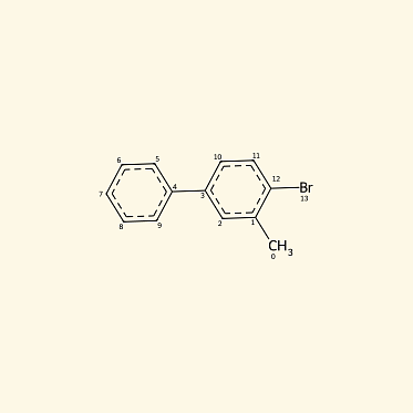 Cc1cc(-c2ccccc2)ccc1Br